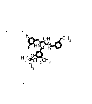 CCc1cccc(CNC[C@@H](O)[C@H](Cc2cc(F)cc(F)c2)NC(=O)c2cc(C)cc(OC(C)(C)C)c2)c1